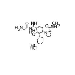 CNC(=O)[C@@H]1CCCN1c1ccc(C(=N)NC(=O)CN)c(O)c1C1CCCCC1.Cl.Cl